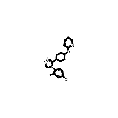 Cc1cc(Cl)ccc1-n1cnnc1C1CCC(Oc2ccccn2)CC1